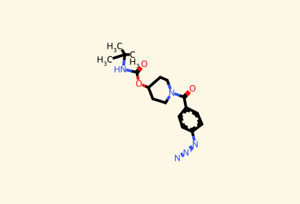 CC(C)(C)NC(=O)OC1CCN(C(=O)c2ccc(N=[N+]=[N-])cc2)CC1